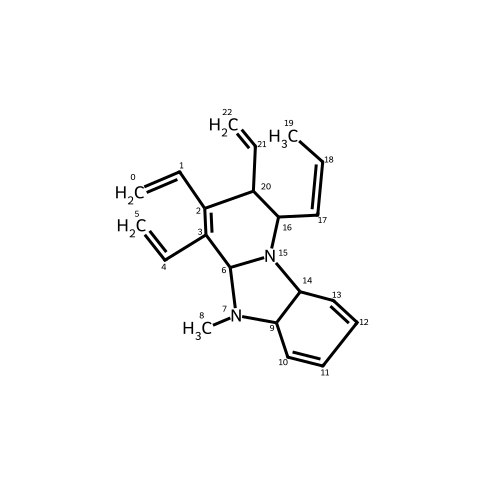 C=CC1=C(C=C)C2N(C)C3C=CC=CC3N2C(/C=C\C)C1C=C